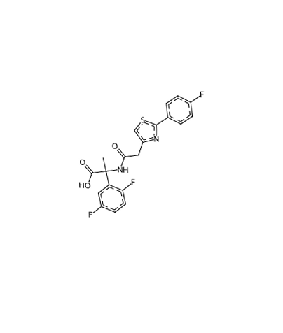 CC(NC(=O)Cc1csc(-c2ccc(F)cc2)n1)(C(=O)O)c1cc(F)ccc1F